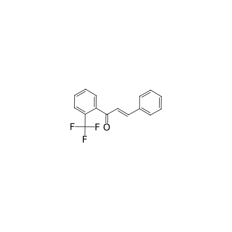 O=C(/C=C/c1ccccc1)c1ccccc1C(F)(F)F